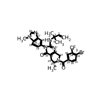 C=CC(C)(C)Nc1nc2c(c(=O)n1-c1ccc3c(c1)ncn3C)C[C@@H](C)N(C(=O)c1ccc(Br)c(C(F)(F)F)c1)C2